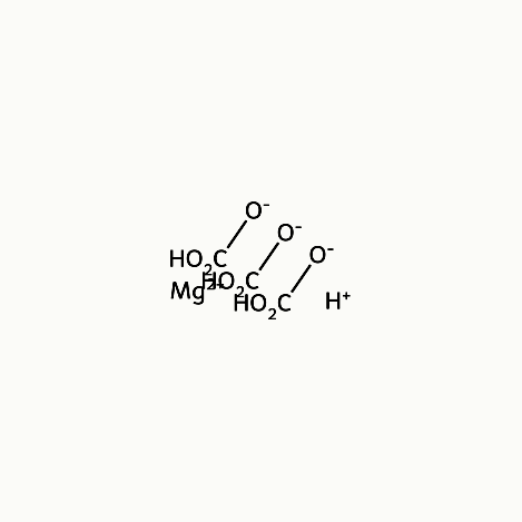 O=C([O-])O.O=C([O-])O.O=C([O-])O.[H+].[Mg+2]